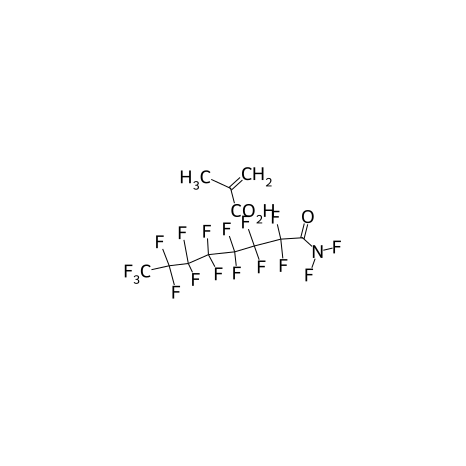 C=C(C)C(=O)O.O=C(N(F)F)C(F)(F)C(F)(F)C(F)(F)C(F)(F)C(F)(F)C(F)(F)C(F)(F)F